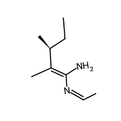 C/C=N\C(N)=C(/C)[C@@H](C)CC